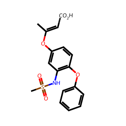 CC(=CC(=O)O)Oc1ccc(Oc2ccccc2)c(NS(C)(=O)=O)c1